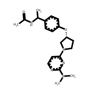 CC(=O)NC(C)c1ccc(O[C@@H]2CCN(c3ccnc(N(C)C)n3)C2)cc1